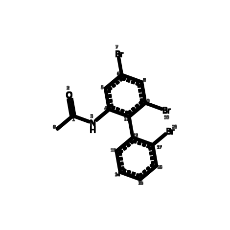 CC(=O)Nc1cc(Br)cc(Br)c1-c1ccccc1Br